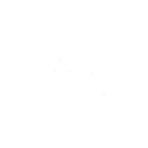 CC1(C)COC(c2cnc(C3=CCN(C(=N)Nc4ccc(C(C)(F)F)cc4)CC3)c(Cl)c2)=N1